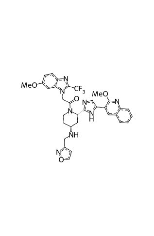 COc1ccc2nc(C(F)(F)F)n(CC(=O)N3CC[C@H](NCc4ccon4)C[C@H]3c3ncc(-c4cc5ccccc5nc4OC)[nH]3)c2c1